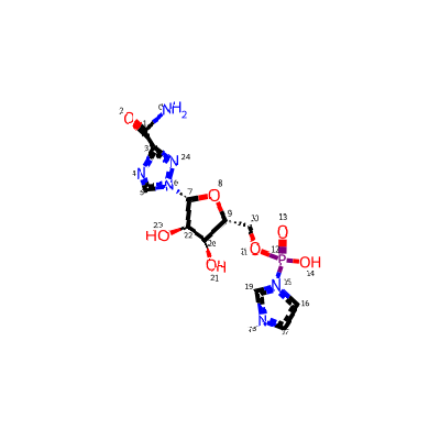 NC(=O)c1ncn([C@@H]2O[C@H](COP(=O)(O)n3ccnc3)[C@@H](O)[C@H]2O)n1